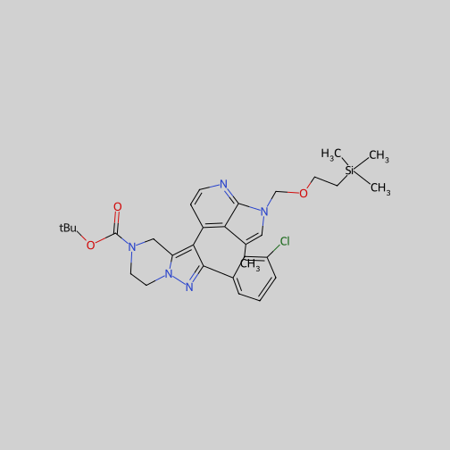 Cc1cn(COCC[Si](C)(C)C)c2nccc(-c3c(-c4cccc(Cl)c4)nn4c3CN(C(=O)OC(C)(C)C)CC4)c12